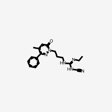 CCN=C(NC#N)NCCCn1nc(-c2ccccc2)c(C)cc1=O